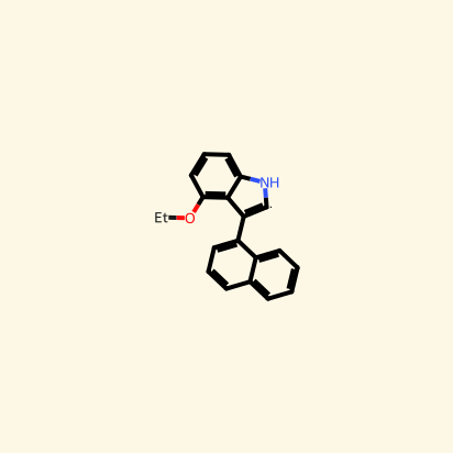 CCOc1cccc2[nH][c]c(-c3cccc4ccccc34)c12